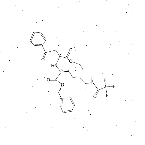 CCOC(=O)C(CC(=O)c1ccccc1)N[C@@H](CCCCNC(=O)C(F)(F)F)C(=O)OCc1ccccc1